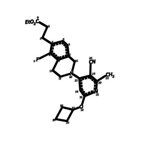 CCOC(=O)CCc1ccc2c(c1F)CCN(c1cc(OC3CCC3)nc(C)c1C#N)C2